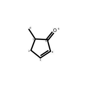 CC1CC=CC1=O